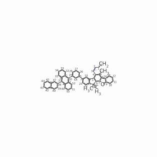 C=C/C=C\c1c2c(c3oc4ccccc4c3c1C)C(C)(C)c1ccc(-c3cccc(-c4c5ccccc5c(-c5ccc6ccccc6c5)c5ccccc45)c3)cc1-2